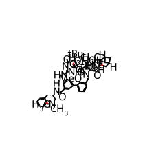 COc1c(CN2O[C@@H](CO)[C@@H]([C@H](C)O)[C@H]2C(=O)N[C@H]2C[C@H]3C[C@H](C3C)[C@@H]2C)cccc1-c1cc(N/C(=N/C(=O)OC(C)(C)C)NC(=O)OC(C)(C)C)cc(C(=O)N[C@@H](Cc2ccccc2)CN(C)C)c1